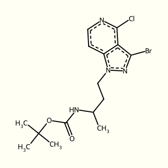 CC(CCn1nc(Br)c2c(Cl)nccc21)NC(=O)OC(C)(C)C